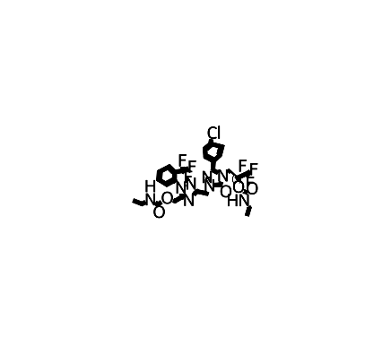 CCNC(=O)OCc1nc(Cn2nc(-c3ccc(Cl)cc3)n(C[C@H](OC(=O)NCC)C(F)(F)F)c2=O)nn1-c1ccccc1C(F)(F)F